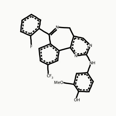 COc1cc(Nc2ncc3c(n2)-c2cc(C(F)(F)F)ccc2C(c2ccccc2F)=NC3)ccc1O